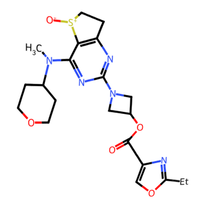 CCc1nc(C(=O)OC2CN(c3nc4c(c(N(C)C5CCOCC5)n3)[S+]([O-])CC4)C2)co1